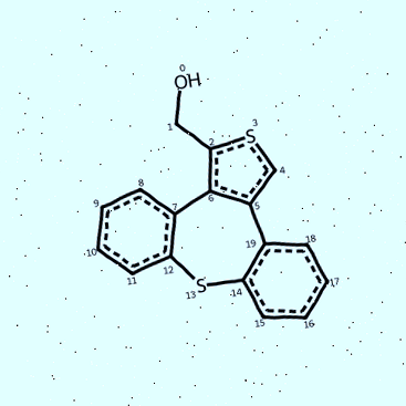 OCc1scc2c1-c1ccccc1Sc1ccccc1-2